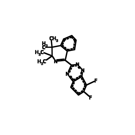 CC1(C)N=C(c2nnc3c(F)c(F)ccc3n2)c2ccccc2C1(C)C